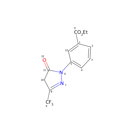 CCOC(=O)c1cccc(N2N=C(C(F)(F)F)CC2=O)c1